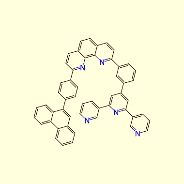 c1cncc(-c2cc(-c3cccc(-c4ccc5ccc6ccc(-c7ccc(-c8cc9ccccc9c9ccccc89)cc7)nc6c5n4)c3)cc(-c3cccnc3)n2)c1